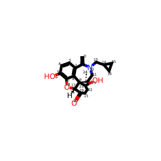 C=C1c2ccc(O)c3c2[C@@]2(CCN1CC1CC1)[C@@H](O3)C(=O)CC[C@]2(C)O